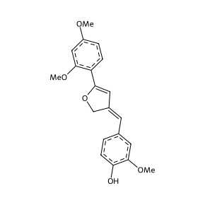 COc1ccc(C2=CC(=Cc3ccc(O)c(OC)c3)CO2)c(OC)c1